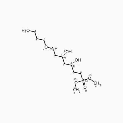 CCCCONC[C@H](O)C[C@H](O)CCP(=O)(OC)OC